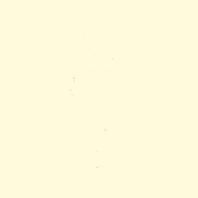 O=C(NCc1cc2c(-c3ccc4ccccc4c3)n[nH]c2s1)c1ccco1